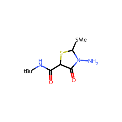 CSC1SC(C(=O)NC(C)(C)C)C(=O)N1N